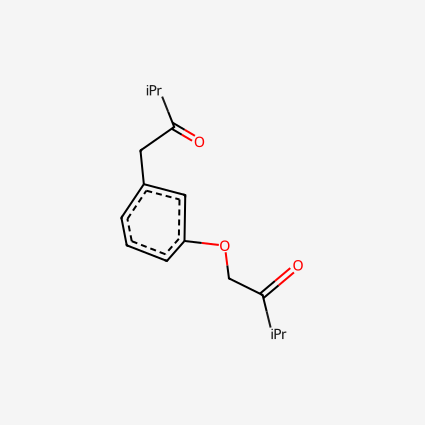 CC(C)C(=O)COc1cccc(CC(=O)C(C)C)c1